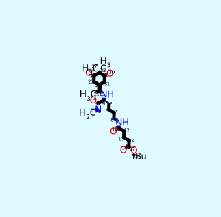 C=NC(=O)[C@H](CCCCNC(=O)CCCC(=O)OC(C)(C)C)NC(C)=C1CC(=O)C(C)(C)C(=O)C1